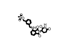 CS(=O)(=O)OCc1cccc(CNc2cccc3c2C(=O)N(C2CCC(=O)NC2=O)C3=O)c1